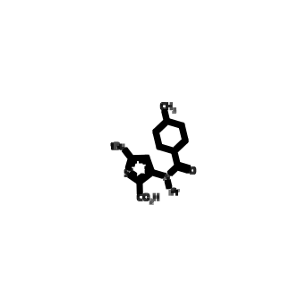 CC1CCC(C(=O)N(c2cc(C(C)(C)C)sc2C(=O)O)C(C)C)CC1